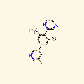 CCc1cc(-c2cncc(C)c2)cc(C(=O)O)c1-c1cnccn1